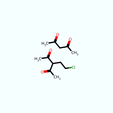 CC(=O)C(CCCl)C(C)=O.CC(=O)CC(C)=O